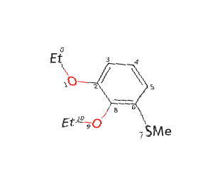 CCOc1cccc(SC)c1OCC